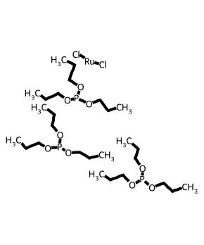 CCCOP(OCCC)OCCC.CCCOP(OCCC)OCCC.CCCOP(OCCC)OCCC.[Cl][Ru][Cl]